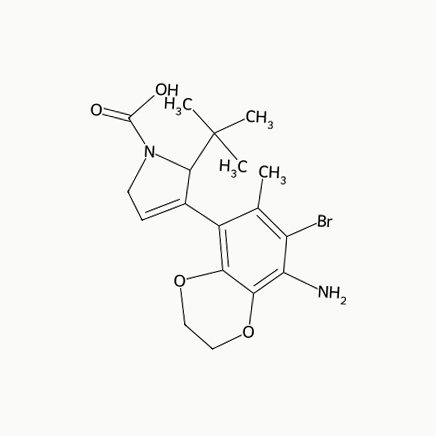 Cc1c(Br)c(N)c2c(c1C1=CCN(C(=O)O)C1C(C)(C)C)OCCO2